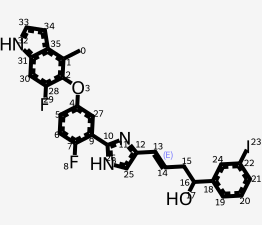 Cc1c(Oc2ccc(F)c(-c3nc(/C=C/CC(O)c4cccc(I)c4)c[nH]3)c2)c(F)cc2[nH]ccc12